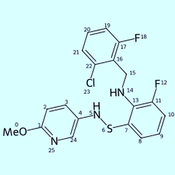 COc1ccc(NSc2cccc(F)c2NCc2c(F)cccc2Cl)cn1